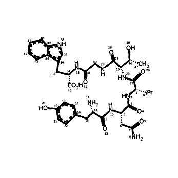 CC(C)[C@H](NC(=O)[C@H](CC(N)=O)NC(=O)[C@@H](N)Cc1ccc(O)cc1)C(=O)N[C@H](C(=O)NCC(=O)N[C@@H](Cc1c[nH]c2ccccc12)C(=O)O)[C@@H](C)O